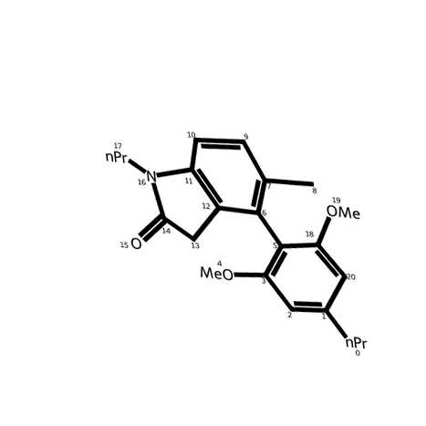 CCCc1cc(OC)c(-c2c(C)ccc3c2CC(=O)N3CCC)c(OC)c1